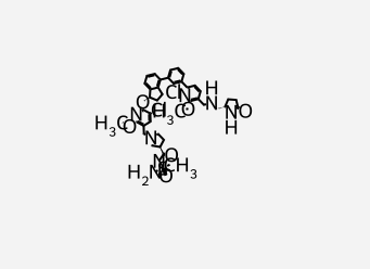 COc1nc(-c2cccc(-c3cccc4c3CC[C@@H]4Oc3nc(OC)c(CN4CC[C@@H](C(=O)N=S(C)(N)=O)C4)cc3Cl)c2Cl)ccc1CNC[C@@H]1CCC(=O)N1